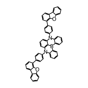 c1ccc2c(c1)B1c3ccccc3N(c3ccc(-c4cccc5c4oc4ccccc45)cc3)c3cccc(c31)N2c1ccc(-c2cccc3c2oc2ccccc23)cc1